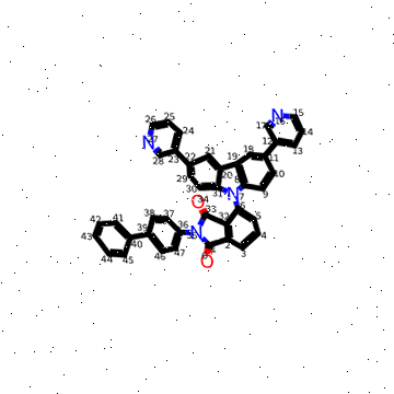 O=C1c2cccc(-n3c4ccc(-c5cccnc5)cc4c4cc(-c5cccnc5)ccc43)c2C(=O)N1c1ccc(-c2ccccc2)cc1